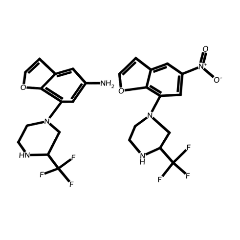 Nc1cc(N2CCNC(C(F)(F)F)C2)c2occc2c1.O=[N+]([O-])c1cc(N2CCNC(C(F)(F)F)C2)c2occc2c1